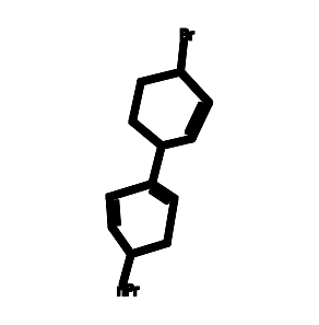 CCCC1C=CC(C2C=CC(Br)CC2)=CC1